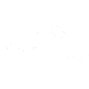 O=C(Nc1ccc(CC2CCN(Cc3ccc(C(O)(C(F)(F)F)C(F)(F)F)cc3)CC2)cc1)Nc1ccncc1F